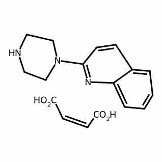 O=C(O)/C=C\C(=O)O.c1ccc2nc(N3CCNCC3)ccc2c1